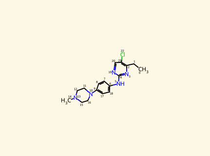 CCc1nc(Nc2ccc(N3CCN(C)CC3)cc2)ncc1Cl